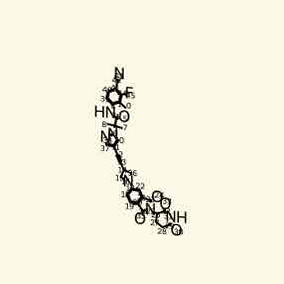 Cc1c(NC(=O)C(C)(C)n2cc(C#CC3CN(c4ccc5c(c4)C(=O)N(C4CCC(=O)NC4=O)C5=O)C3)cn2)ccc(C#N)c1F